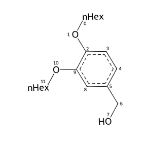 CCCCCCOc1ccc(CO)cc1OCCCCCC